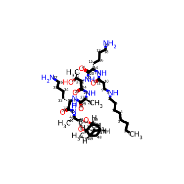 CCCCCCCCNCCC(=O)N[C@@H](CCCCN)C(=O)N[C@H](C(=O)N[C@@H](C)C(=O)N[C@@H](CCCCN)C(=O)N[C@@H](C)B1O[C@@H]2C[C@@H]3C[C@@H](C3(C)C)[C@]2(C)O1)[C@@H](C)O